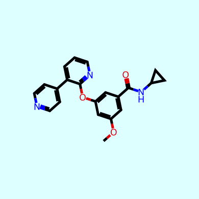 COc1cc(Oc2ncccc2-c2ccncc2)cc(C(=O)NC2CC2)c1